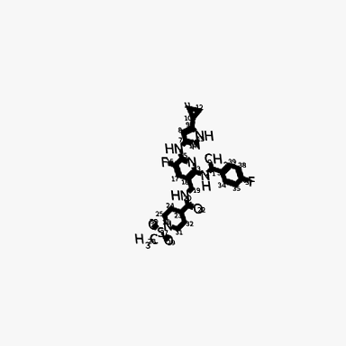 CC(Nc1nc(Nc2cc(C3CC3)[nH]n2)c(F)cc1CNC(=O)C1CCN(S(C)(=O)=O)CC1)c1ccc(F)cc1